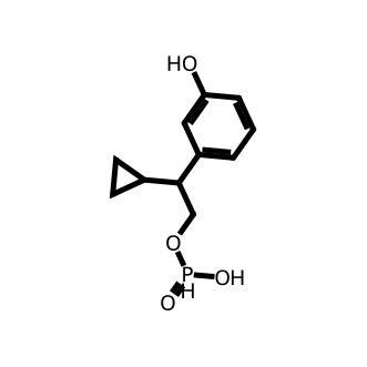 O=[PH](O)OCC(c1cccc(O)c1)C1CC1